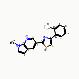 CC(C)n1ccc2cc(-c3nc(-c4ccccc4C(F)(F)F)cs3)cnc21